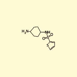 NC1CCC(NS(=O)(=O)c2cccs2)CC1